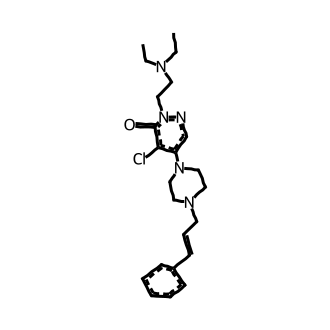 CCN(CC)CCn1ncc(N2CCN(CC=Cc3ccccc3)CC2)c(Cl)c1=O